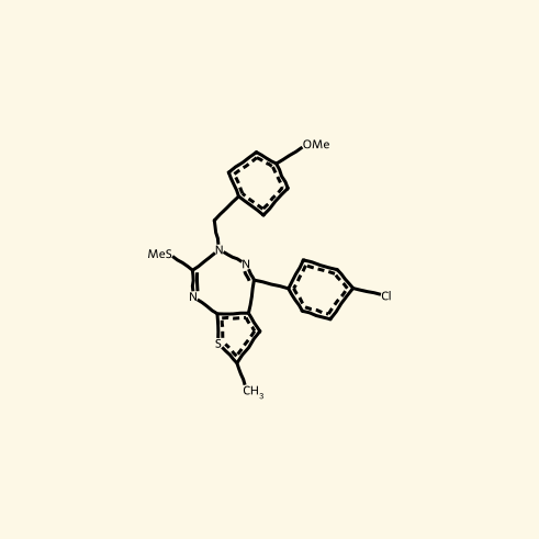 COc1ccc(CN2N=C(c3ccc(Cl)cc3)c3cc(C)sc3N=C2SC)cc1